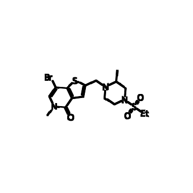 CCS(=O)(=O)N1CCN(Cc2cc3c(=O)n(C)cc(Br)c3s2)C(C)C1